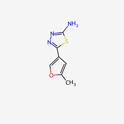 Cc1cc(-c2nnc(N)s2)co1